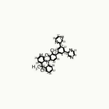 Cc1c(-c2cc(-c3cnccn3)cc(-c3cnccn3)c2)ccc(N2c3ccccc3C(C)(C)c3ccccc32)c1C